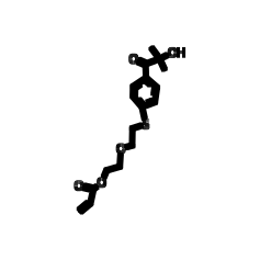 C=CC(=O)OCCOCCSc1ccc(C(=O)C(C)(C)O)cc1